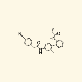 C=CC(=O)Nc1ccccc1-c1ccc(NC(=O)Cc2ccc(C#N)cc2)cc1C